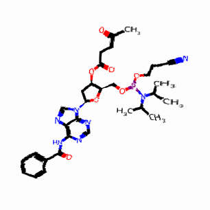 CC(=O)CCC(=O)O[C@@H]1C[C@H](n2cnc3c(NC(=O)c4ccccc4)ncnc32)O[C@@H]1COP(OCCC#N)N(C(C)C)C(C)C